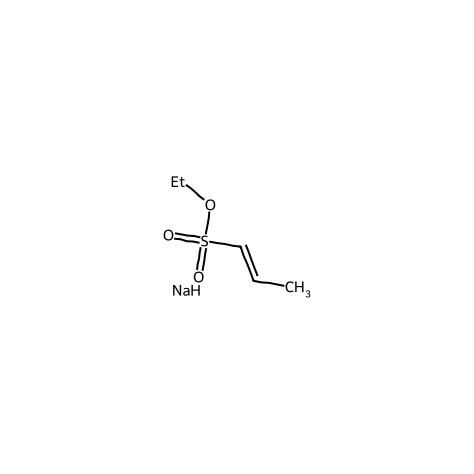 CC=CS(=O)(=O)OCC.[NaH]